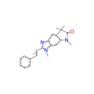 CN1C(=O)C(C)(C)c2cc3nc(/C=C/c4ccccc4)n(C)c3cc21